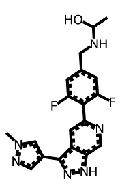 CC(O)NCc1cc(F)c(-c2cc3c(-c4cnn(C)c4)n[nH]c3cn2)c(F)c1